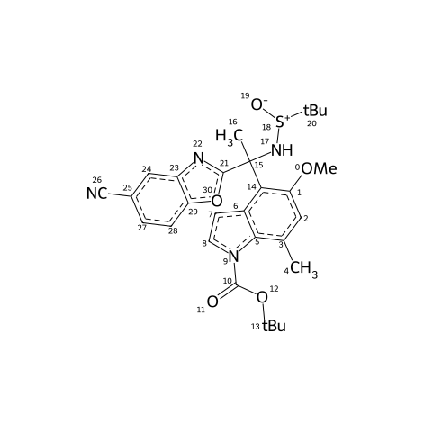 COc1cc(C)c2c(ccn2C(=O)OC(C)(C)C)c1C(C)(N[S+]([O-])C(C)(C)C)c1nc2cc(C#N)ccc2o1